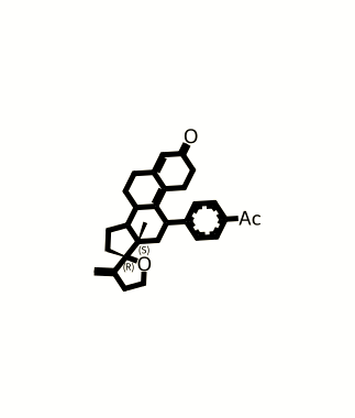 C=C1CCO[C@]12CCC1C3CCC4=CC(=O)CCC4=C3C(c3ccc(C(C)=O)cc3)C[C@@]12C